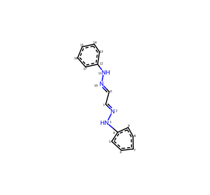 C(/C=N/Nc1ccccc1)=N\Nc1ccccc1